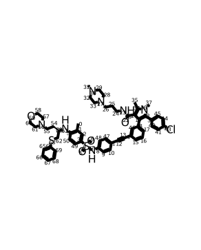 Cc1cc(S(=O)(=O)Nc2ccc(C#Cc3cccc(-c4c(C(=O)NCCCN5CCN(C)CC5)c(C)n(C)c4-c4ccc(Cl)cc4)c3)cc2)ccc1N[C@H](CCN1CCOCC1)CSc1ccccc1